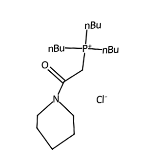 CCCC[P+](CCCC)(CCCC)CC(=O)N1CCCCC1.[Cl-]